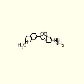 BNc1ccn(CC(=O)c2ccc3c(c2)CN(C)CC3)c(=O)c1